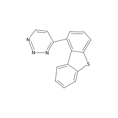 c1ccc2c(c1)sc1cccc(-c3ccnnn3)c12